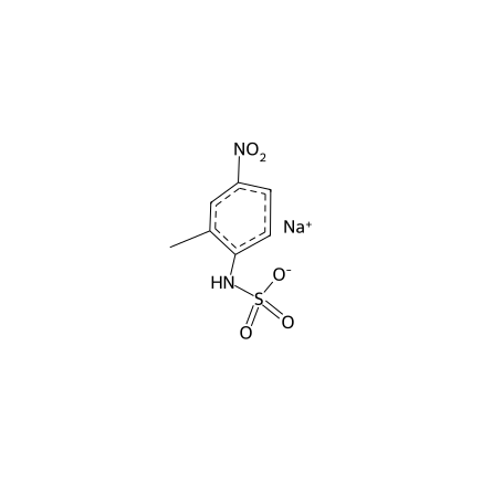 Cc1cc([N+](=O)[O-])ccc1NS(=O)(=O)[O-].[Na+]